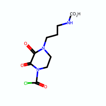 O=C(O)NCCCN1CCN(C(=O)Cl)C(=O)C1=O